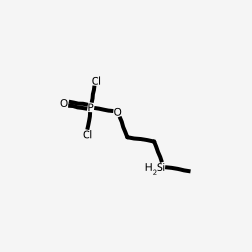 C[SiH2]CCOP(=O)(Cl)Cl